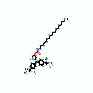 CCCCCCCCCCCCCCCCCCNC(=O)O[C@H]1CN[C@@H](C(c2ccc(C(C)(C)C)cc2)c2ccc(C(C)(C)C)cc2)C1